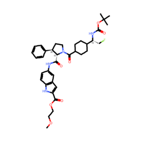 COCCOC(=O)c1cc2cc(NC(=O)[C@@H]3[C@@H](c4ccccc4)CCN3C(=O)C3CCC([C@@H](CF)NC(=O)OC(C)(C)C)CC3)ccc2[nH]1